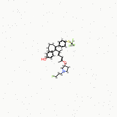 C/C(=C\C=C(/C)C1=C(c2ccc(SC(F)(F)F)cc2)CCCc2cc(O)ccc21)O[C@H]1CCN(CCCF)C1